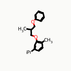 Cc1ccc(C(C)C)cc1OCC(C)COc1[c]cccc1